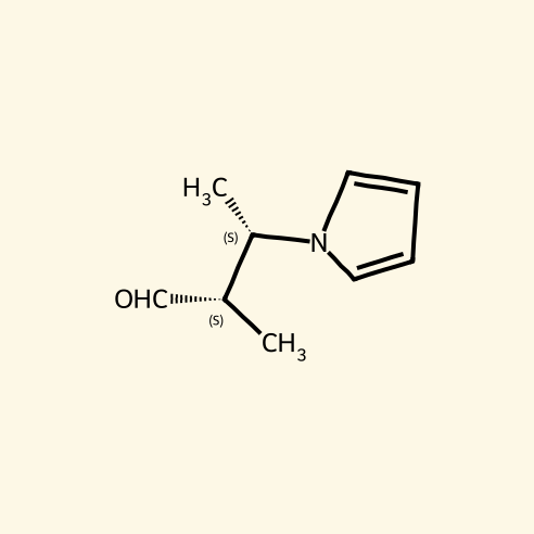 C[C@H](C=O)[C@H](C)n1cccc1